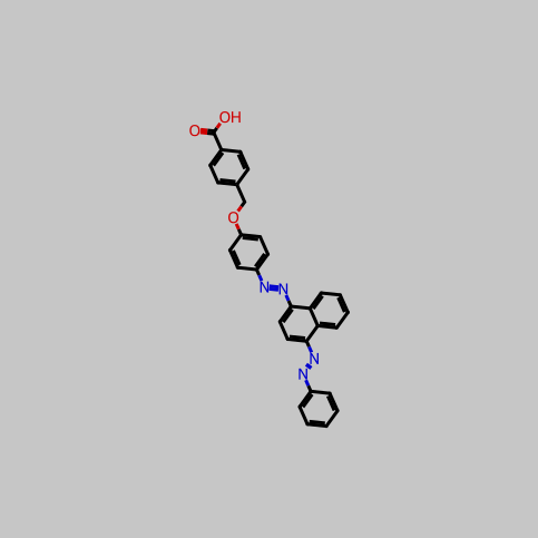 O=C(O)c1ccc(COc2ccc(/N=N/c3ccc(/N=N/c4ccccc4)c4ccccc34)cc2)cc1